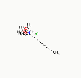 CCCCCCCCCCCCCCCCCC[N+](C)(C)C(CC)[Si](OC)(OC)OC.[Cl-]